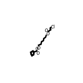 O=C(C=CCl)OCCCCCCCOOC(=O)c1ccccc1